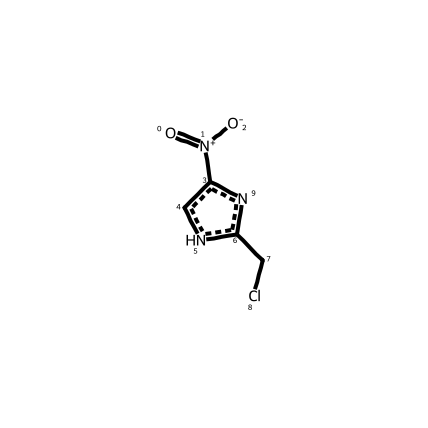 O=[N+]([O-])c1c[nH]c(CCl)n1